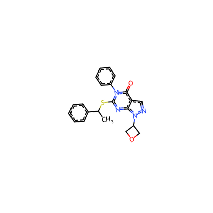 CC(Sc1nc2c(cnn2C2COC2)c(=O)n1-c1ccccc1)c1ccccc1